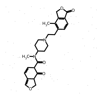 Cc1c(CCN2CCC(N(C)C(=O)C3C=CC4=COCC4C3=O)CC2)ccc2c1COC2=O